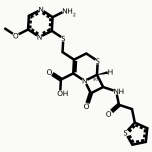 COc1cnc(N)c(SCC2=C(C(=O)O)N3C(=O)C(NC(=O)Cc4cccs4)[C@H]3SC2)n1